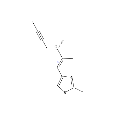 CC#CC[C@H](C)/C(C)=C/c1csc(C)n1